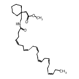 CC/C=C\C/C=C\C/C=C\C/C=C\C/C=C\C/C=C\CCC(=O)NCC1(CC(=O)OC)CCCCC1